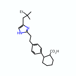 CCC(C)(C)Cc1c[nH]c(CCc2ccc(C3CCCCC3C(=O)O)cc2)n1